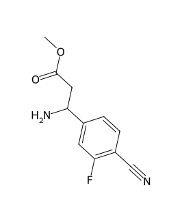 COC(=O)CC(N)c1ccc(C#N)c(F)c1